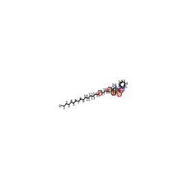 CCCCCCCCCCCCCCCCOCCCOC(=O)[C@H](C)NP(=O)(Cl)Oc1ccccc1